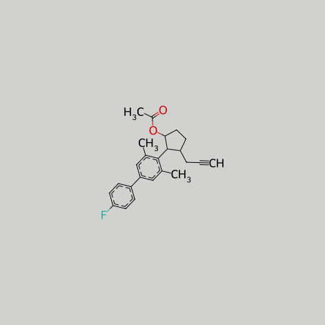 C#CCC1CCC(OC(C)=O)C1c1c(C)cc(-c2ccc(F)cc2)cc1C